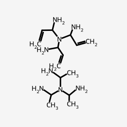 C=CC(N)N(C(N)C=C)C(N)C=C.CC(N)N(C(C)N)C(C)N